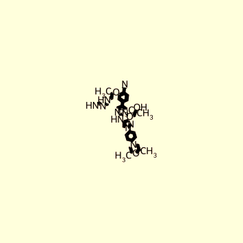 C[C@@H]1CN([C@H]2CC[C@H](n3cc(Nc4ncc(-c5ccc(C#N)c(O[C@@H](C)CN/C=N\C=N)c5)cn4)c(OCC(C)(C)O)n3)CC2)C[C@H](C)O1